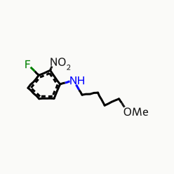 COCCCCNc1cccc(F)c1[N+](=O)[O-]